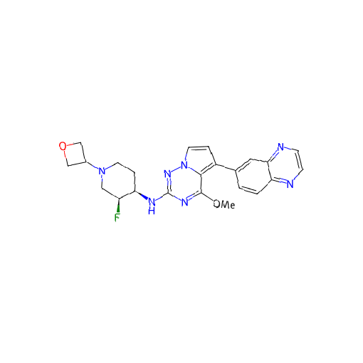 COc1nc(N[C@@H]2CCN(C3COC3)C[C@@H]2F)nn2ccc(-c3ccc4nccnc4c3)c12